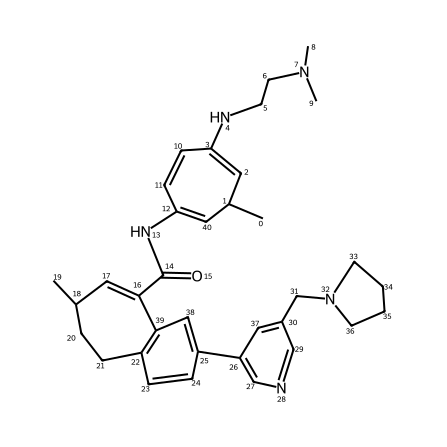 CC1C=C(NCCN(C)C)C=CC(NC(=O)C2=CC(C)CCc3ccc(-c4cncc(CN5CCCC5)c4)cc32)=C1